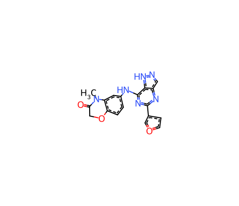 CN1C(=O)COc2ccc(Nc3nc(-c4ccoc4)nc4cn[nH]c34)cc21